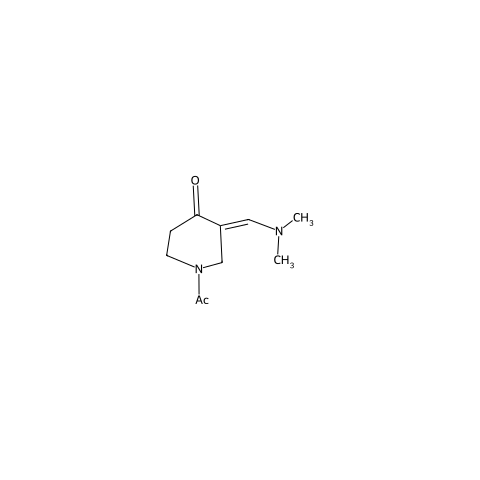 CC(=O)N1CCC(=O)/C(=C/N(C)C)C1